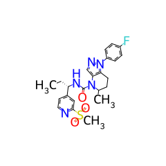 CC[C@H](NC(=O)N1c2cnn(-c3ccc(F)cc3)c2CCC1C)c1ccnc(S(C)(=O)=O)c1